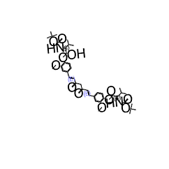 COc1cc(/C=C/C(=O)CC(=O)/C=C/c2ccc(OC(O)[C@@H](NC(=O)OC(C)(C)C)C(C)C)c(OC)c2)ccc1OC(=O)[C@@H](NC(=O)OC(C)(C)C)C(C)C